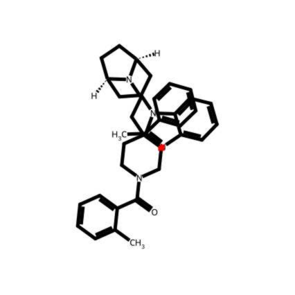 Cc1ccccc1C(=O)N1CCC(CCN2[C@@H]3CC[C@H]2CC(n2c(C)nc4ccccc42)C3)(c2ccccc2)CC1